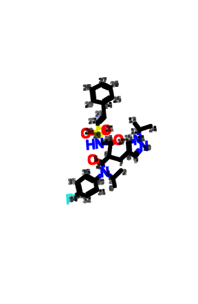 CC(C)N(C(=O)C(Cc1cnn(C(C)C)c1)C(=O)NS(=O)(=O)/C=C/c1ccccc1)c1ccc(F)cc1